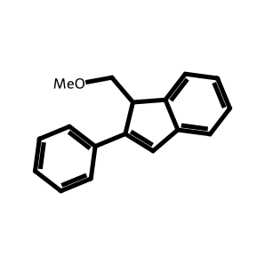 COCC1C(c2ccccc2)=Cc2ccccc21